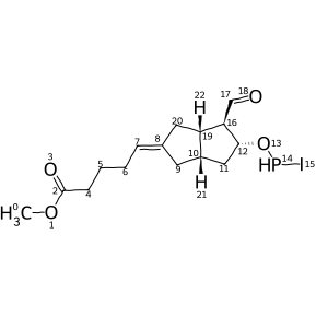 COC(=O)CCC/C=C1\C[C@H]2C[C@@H](OPI)[C@H](C=O)[C@H]2C1